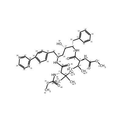 COC(=O)N[C@H](C(=O)N[C@@H](Cc1ccccc1)[C@@H](O)CN(Cc1ccc(-c2cnccn2)cc1)NC(=O)[C@@H](NC(=O)OC)C(C)(C)C)C(C)C